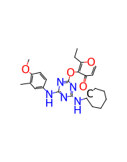 CCc1occc(=O)c1Oc1nc(Nc2ccc(OC)c(C)c2)nc(NC2CCCCCC2)n1